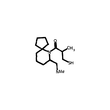 CNCC1CCCC2(CCCC2)N1C(=O)C(C)CS